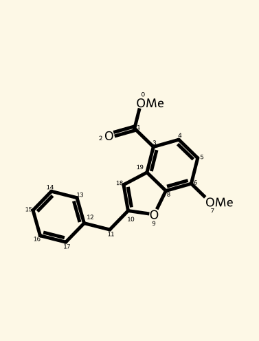 COC(=O)c1ccc(OC)c2oc(Cc3ccccc3)cc12